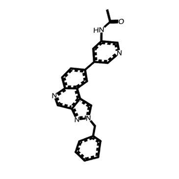 CC(=O)Nc1cncc(-c2ccc3ncc4nn(Cc5ccccc5)cc4c3c2)c1